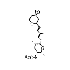 CC(=O)ON[C@@H]1C[C@H](C)[C@H](C/C=C(C)/C=C/[C@@H]2C[C@@]3(CCO2)CO3)O[C@@H]1C